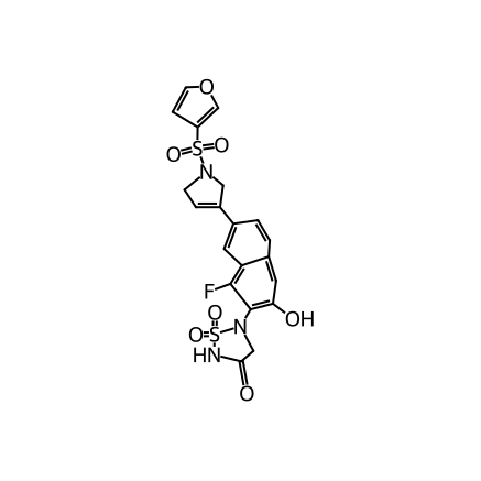 O=C1CN(c2c(O)cc3ccc(C4=CCN(S(=O)(=O)c5ccoc5)C4)cc3c2F)S(=O)(=O)N1